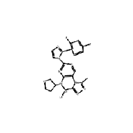 CC[C@@H]1c2nnc(C)n2-c2cnc(-n3ccnc3-c3ccc(F)cc3F)nc2N1C1CCOC1